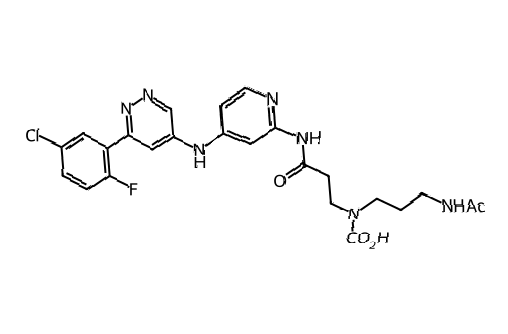 CC(=O)NCCCN(CCC(=O)Nc1cc(Nc2cnnc(-c3cc(Cl)ccc3F)c2)ccn1)C(=O)O